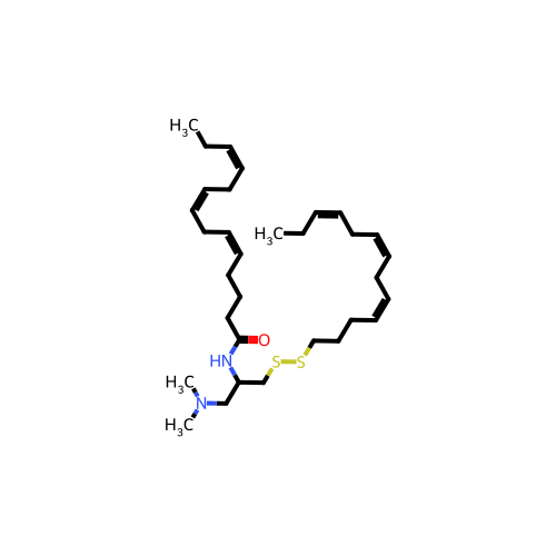 CC/C=C\C/C=C\C/C=C\CCCSSCC(CN(C)C)NC(=O)CCC/C=C\C/C=C\C/C=C\CC